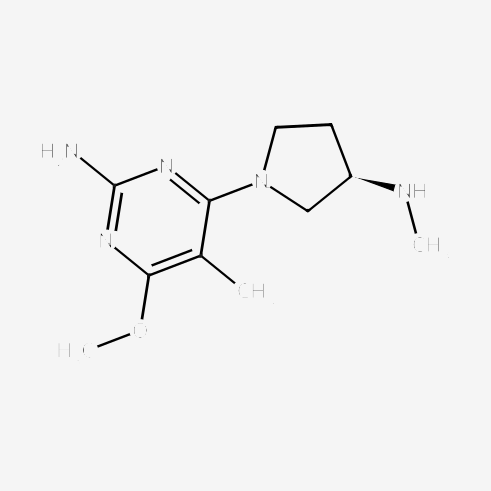 CN[C@@H]1CCN(c2nc(N)nc(OC)c2C)C1